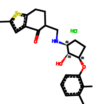 Cc1cc2c(s1)CCC(CN[C@@H]1CC[C@@H](Oc3cccc(C)c3C)[C@@H]1O)C2=O.Cl